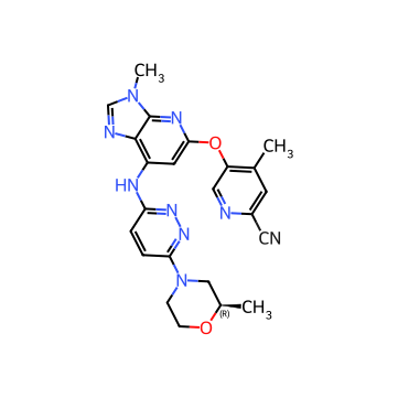 Cc1cc(C#N)ncc1Oc1cc(Nc2ccc(N3CCO[C@H](C)C3)nn2)c2ncn(C)c2n1